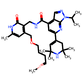 C/B=C\CCCOCc1cc(C)[nH]c(=O)c1CNC(=O)c1cc(C2=CC(C)(C)NC(C)(C)C2)nc2c1cnn2C(C)C